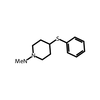 CNN1CCC(Sc2ccccc2)CC1